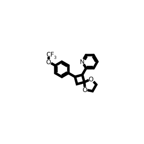 FC(F)(F)Oc1ccc([C]2CC3(OCCO3)C2c2ccccn2)cc1